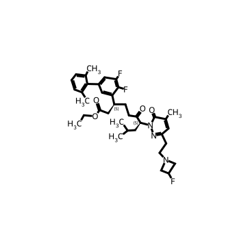 CCOC(=O)C[C@H](CCC(=O)[C@H](CC(C)C)n1nc(CCN2CC(F)C2)cc(C)c1=O)c1cc(-c2c(C)cccc2C)cc(F)c1F